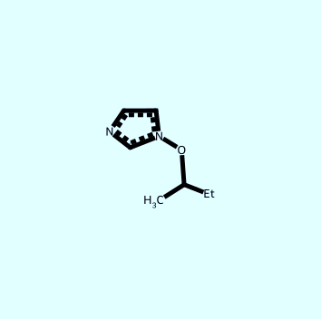 CCC(C)On1ccnc1